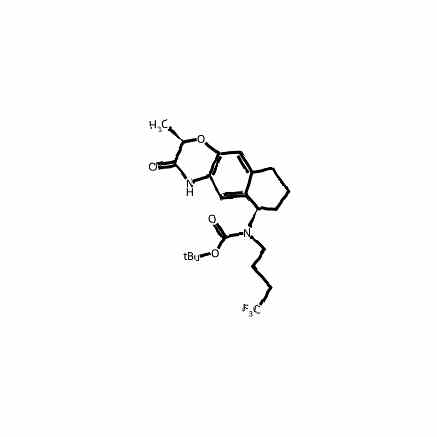 C[C@H]1Oc2cc3c(cc2NC1=O)[C@H](N(CCCC(F)(F)F)C(=O)OC(C)(C)C)CCC3